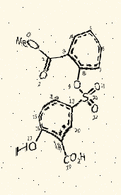 COC(=O)c1ccccc1OS(=O)(=O)c1ccc(O)c(C(=O)O)c1